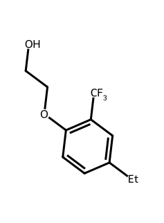 CCc1ccc(OCCO)c(C(F)(F)F)c1